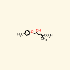 CC(=CCC(O)COc1ccc(C)cc1)C(=O)O